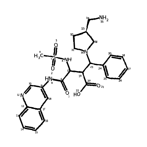 CS(=O)(=O)NC(C(=O)Nc1cnc2ccccc2c1)C(C(=O)O)C(c1ccccc1)N1CC[C@@H](CN)C1